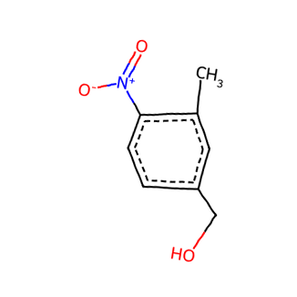 Cc1cc(CO)ccc1[N+](=O)[O-]